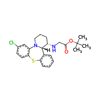 CC(C)(C)OC(=O)CN[C@H]1CCCN2c3cc(Cl)ccc3Sc3ccccc3[C@@H]12